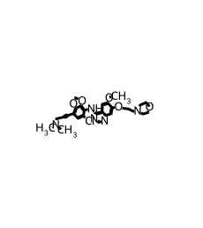 COc1cc2c(Nc3c(Cl)cc(C#CCN(C)C)c4c3OCO4)ncnc2cc1OCCCN1CCOCC1